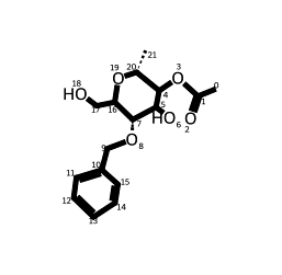 CC(=O)OC1C(O)[C@H](OCc2ccccc2)C(CO)O[C@@H]1C